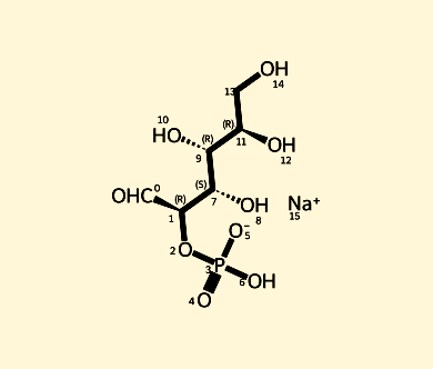 O=C[C@H](OP(=O)([O-])O)[C@@H](O)[C@H](O)[C@H](O)CO.[Na+]